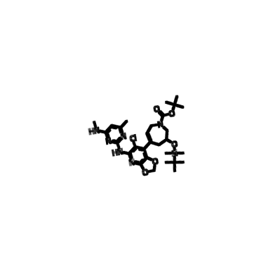 CNc1cc(C)nc(Nc2nc3c(c(C4=CCN(C(=O)OC(C)(C)C)CC(O[Si](C)(C)C(C)(C)C)C4)c2Cl)OCO3)n1